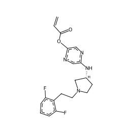 C=CC(=O)Oc1cnc(N[C@@H]2CCN(CCc3c(F)cccc3F)C2)cn1